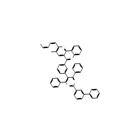 C/C=C\C=C/c1nc2c(cc1C)c(-c1cccc(-c3c(-c4ccccc4)nc(-c4cccc(-c5ccccc5)c4)nc3-c3ccccc3)c1)nc1ccccc12